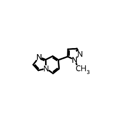 Cn1nccc1-c1ccn2ccnc2c1